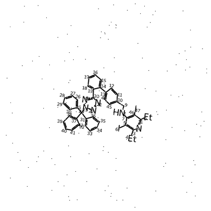 CCc1nc(CC)c(I)c(NCc2ccc(-c3ccccc3-c3nnn(C(c4ccccc4)(c4ccccc4)c4ccccc4)n3)cc2)c1I